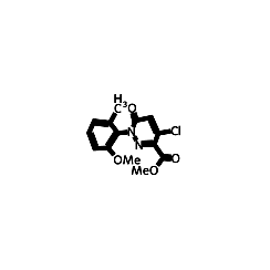 COC(=O)c1nn(-c2c(C)cccc2OC)c(=O)cc1Cl